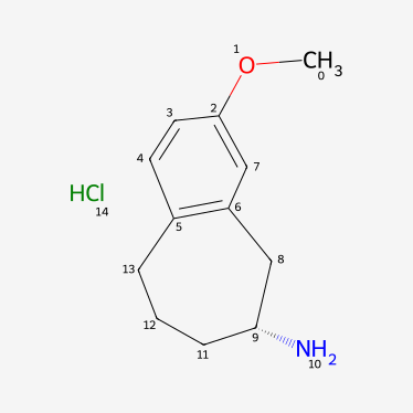 COc1ccc2c(c1)C[C@H](N)CCC2.Cl